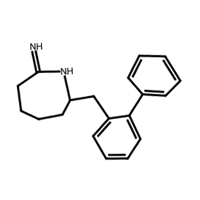 N=C1CCCCC(Cc2ccccc2-c2ccccc2)N1